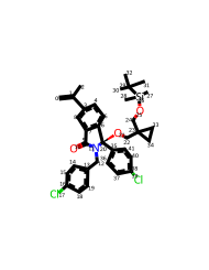 C=C(C)c1ccc2c(c1)C(=O)N(Cc1ccc(Cl)cc1)[C@@]2(OCC1(CO[Si](C)(C)C(C)(C)C)CC1)c1ccc(Cl)cc1